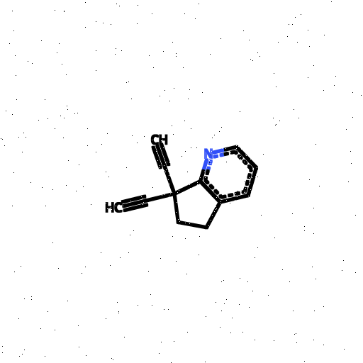 C#CC1(C#C)CCc2cccnc21